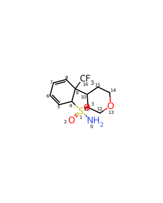 NS(=O)(=O)C1C=CC=CC1(C1CCOCC1)C(F)(F)F